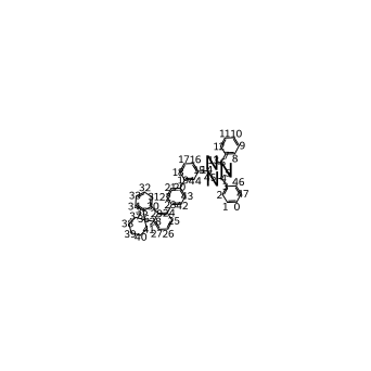 c1ccc(-c2nc(-c3ccccc3)nc(-c3cccc(-c4ccc(-c5cccc6c5-c5ccccc5C65CCCCC5)cc4)c3)n2)cc1